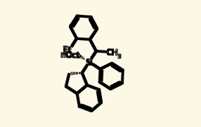 CCCCCCCC[Si@@](c1ccccc1)(C(C)C1C=CC=CC1CC)[C@H]1CCC2C=CC=CC21